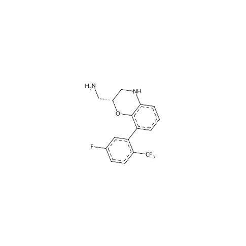 NC[C@@H]1CNc2cccc(-c3cc(F)ccc3C(F)(F)F)c2O1